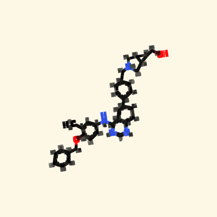 Cc1cc(Nc2ncnc3ccc(-c4ccc(CN5CC6C(CO)C6C5)cc4)cc23)ccc1OCc1ccccc1